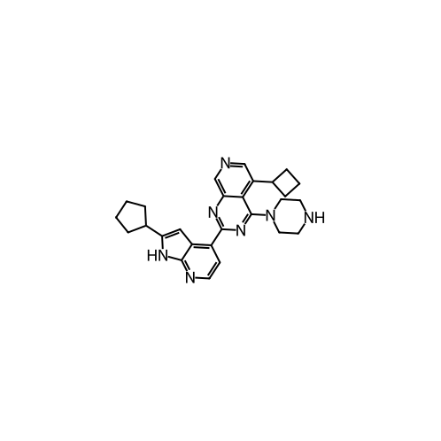 c1cc(-c2nc(N3CCNCC3)c3c(C4CCC4)cncc3n2)c2cc(C3CCCC3)[nH]c2n1